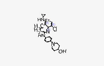 C=C(/N=C(C(\C)=C\NC1CC1)/C(Cl)=C\CC)Nc1ccc(N2CCC(O)CC2)cc1